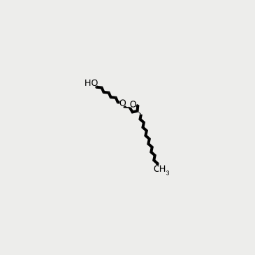 CCCCCCCCCCCCCC[C@H]1CO[C@H](COCCCCCCCO)C1